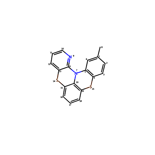 Cc1ccc2c(c1)N1c3ncccc3Sc3cccc(c31)S2